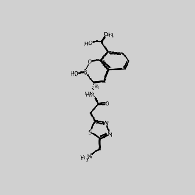 NCc1nnc(CC(=O)N[C@H]2Cc3cccc(C(O)O)c3OB2O)s1